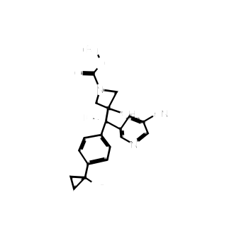 CC(C)(C)OC(=O)N1CC(C)([C@](O)(c2ccc(C3(C(F)(F)F)CC3)cc2)c2cncc(C#N)c2)C1